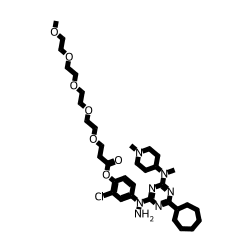 COCCOCCOCCOCCOCCC(=O)Oc1ccc(N(N)c2nc(C3CCCCCC3)nc(N(C)C3CCN(C)CC3)n2)cc1Cl